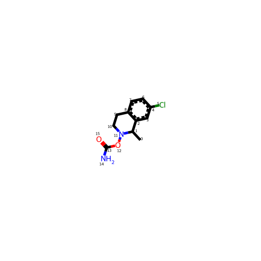 CC1c2cc(Cl)ccc2CCN1OC(N)=O